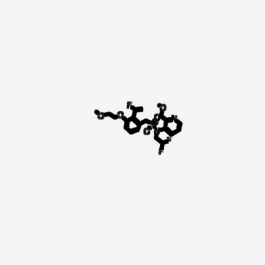 C=C(F)c1c(CS(=O)(=O)N(CC(F)F)c2cccnc2C(=O)OC)cccc1OCCOC